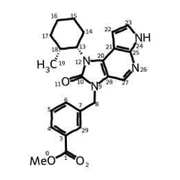 COC(=O)c1cccc(Cn2c(=O)n([C@H]3CCCC[C@H]3C)c3c4cc[nH]c4ncc32)c1